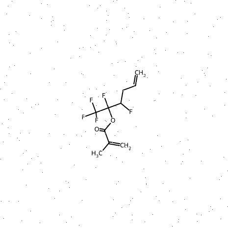 C=CCC(F)C(F)(OC(=O)C(=C)C)C(F)(F)F